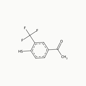 CC(=O)c1ccc(S)c(C(F)(F)F)c1